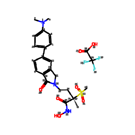 CN(C)c1ccc(-c2ccc3c(c2)CN(CC[C@](C)(C(=O)NO)S(C)(=O)=O)C3=O)cc1.O=C(O)C(F)(F)F